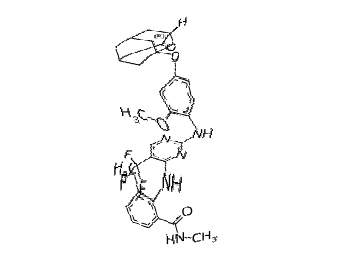 CNC(=O)c1cccc(C)c1Nc1nc(Nc2ccc(OC34CC5CC(C3)C(=O)[C@H](C5)C4)cc2OC)ncc1C(F)(F)F